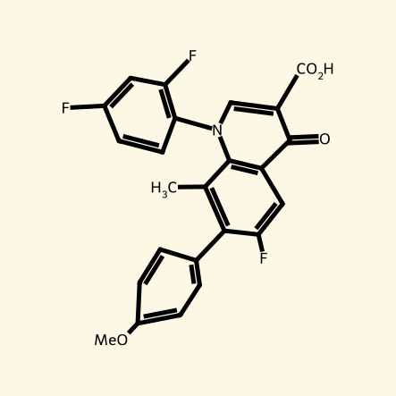 COc1ccc(-c2c(F)cc3c(=O)c(C(=O)O)cn(-c4ccc(F)cc4F)c3c2C)cc1